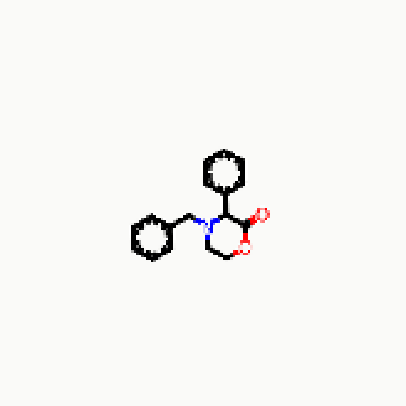 O=C1OCCN(Cc2ccccc2)C1c1ccccc1